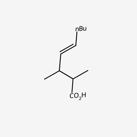 CCCC/C=C/C(C)C(C)C(=O)O